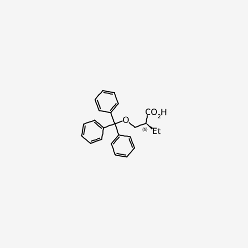 CC[C@@H](COC(c1ccccc1)(c1ccccc1)c1ccccc1)C(=O)O